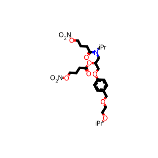 CC(C)OCCOCc1ccc(OCC(CN(C(=O)CCCO[N+](=O)[O-])C(C)C)OC(=O)CCCO[N+](=O)[O-])cc1